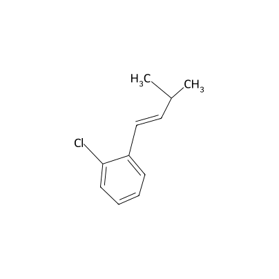 CC(C)/C=C/c1ccccc1Cl